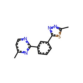 Cc1ccnc(-c2cccc(-c3nnc(C)s3)c2)n1